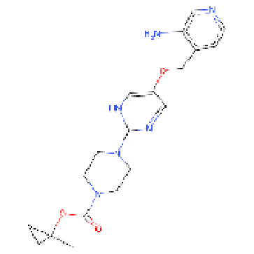 CC1(OC(=O)N2CCN(C3N=CC(OCc4ccncc4N)=CN3)CC2)CC1